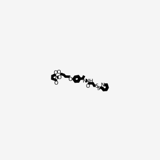 C/C(=N\NC(=O)CCSSc1ccccn1)c1ccc(OCCCC(=O)ON2C(=O)CCC2=O)cc1